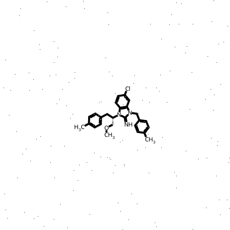 COC[C@H](Cc1ccc(C)cc1)n1c(=N)n(Cc2ccc(C)cc2)c2cc(Cl)ccc21